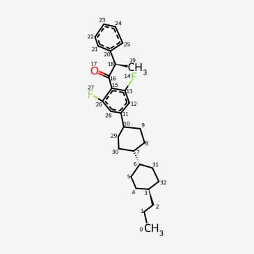 CCC[C@H]1CC[C@H](C2CCC(c3cc(F)c(C(=O)[C@H](C)c4ccccc4)c(F)c3)CC2)CC1